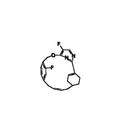 Fc1cc2ccc1COc1nc(ncc1F)C1=CCC(C/C=C\C2)CC1